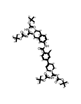 Cc1cc(C2=CCN(C(=NC(=O)OC(C)(C)C)NC(=O)OC(C)(C)C)CC2)ccc1C(=O)Nc1ccc2c(c1)CN(C(=NC(=O)OC(C)(C)C)NC(=O)OC(C)(C)C)CC2